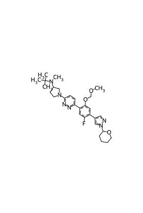 COCOc1cc(-c2cnn(C3CCCCO3)c2)c(F)cc1-c1ccc(N2CCC(N(C)C(C)(C)C)C2)nn1